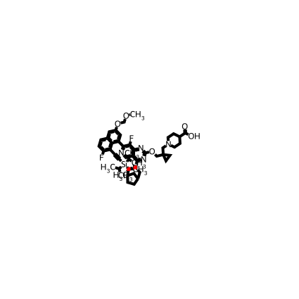 COCOc1cc(-c2ncc3c(N4CC5CCC(C5)C4)nc(OCC4(CN5CCC(C(=O)O)CC5)CC4)nc3c2F)c2c(C#C[Si](C(C)C)(C(C)C)C(C)C)c(F)ccc2c1